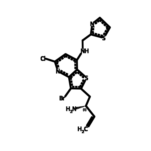 C=C[C@H](N)Cc1sc2c(NCc3nccs3)cc(Cl)nc2c1Br